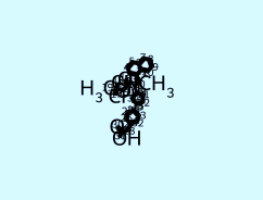 C[C@H](c1cccc2ccccc12)N(C(=O)OC(C)(C)C)[C@H]1CC[C@@H](c2ccc(CC(=O)O)cc2)C1